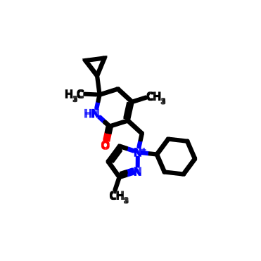 CC1=N[N+](CC2=C(C)CC(C)(C3CC3)NC2=O)(C2CCCCC2)C=C1